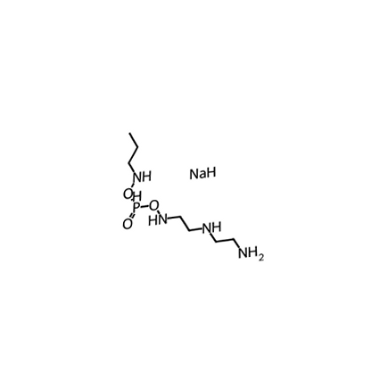 CCCNO[PH](=O)ONCCNCCN.[NaH]